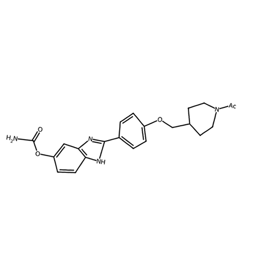 CC(=O)N1CCC(COc2ccc(-c3nc4cc(OC(N)=O)ccc4[nH]3)cc2)CC1